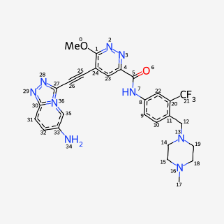 COc1nnc(C(=O)Nc2ccc(CN3CCN(C)CC3)c(C(F)(F)F)c2)cc1C#Cc1nnc2ccc(N)cn12